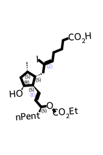 CCCCC[C@@H](/C=C/[C@@H]1[C@@H](C/C(I)=C/CCCC(=O)O)[C@@H](C)C[C@H]1O)OC(=O)OCC